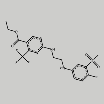 CCOC(=O)c1cnc(NCCNc2ccc(F)c(S(C)(=O)=O)c2)nc1C(F)(F)F